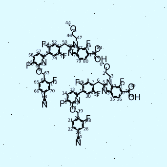 COCCn1c(Cc2cc(F)c(-c3ccc(F)c(OCc4ccc(C#N)cc4F)n3)cc2F)nc2ccc(C(=O)O)c(F)c21.COCCn1c(Cc2cc(F)c(-c3ccc(F)c(OCc4ccc(C#N)cc4F)n3)cc2F)nc2ccc(C(=O)O)c(F)c21